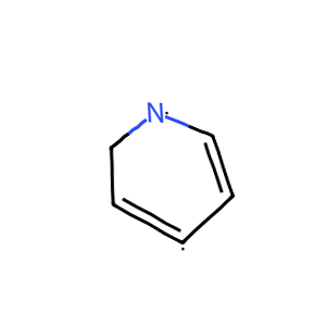 [C]1=CC[N]C=C1